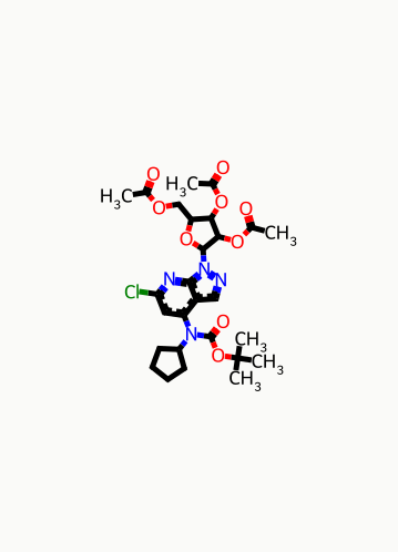 CC(=O)OCC1OC(n2ncc3c(N(C(=O)OC(C)(C)C)C4CCCC4)cc(Cl)nc32)C(OC(C)=O)C1OC(C)=O